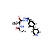 COC(=O)NC(C(=O)N/N=C\c1ccc(-c2ccncc2)cc1)C(C)(C)C